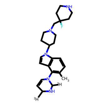 [2H]C1C=CN(c2c(C)ccc3c2ccn3C2CCN(CC3(F)CCNCC3)CC2)C([2H])N1